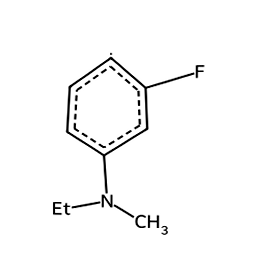 CCN(C)c1cc[c]c(F)c1